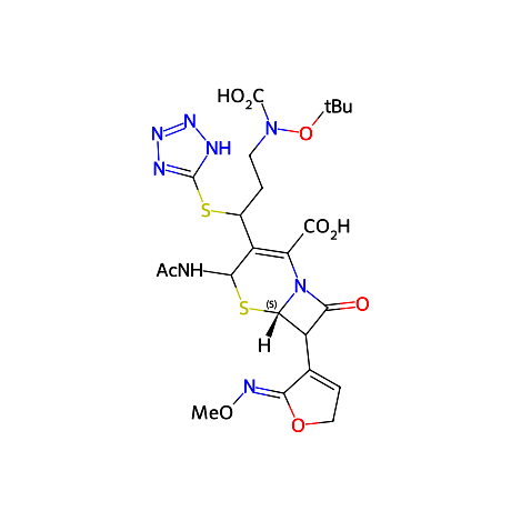 CON=C1OCC=C1C1C(=O)N2C(C(=O)O)=C(C(CCN(OC(C)(C)C)C(=O)O)Sc3nnn[nH]3)C(NC(C)=O)S[C@@H]12